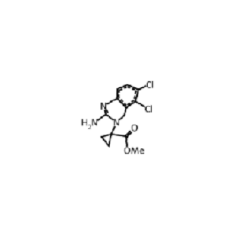 COC(=O)C1(N2Cc3c(ccc(Cl)c3Cl)N=C2N)CC1